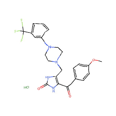 COc1ccc(C(=O)c2[nH]c(=O)[nH]c2CN2CCN(c3cccc(C(F)(F)F)c3)CC2)cc1.Cl